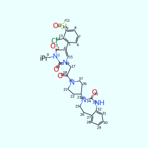 CC(C)n1c(=O)c(-c2cccc([S+](C)[O-])c2Cl)cn(CC(=O)N2CCC(N3CCc4ccccc4NC3=O)CC2)c1=O